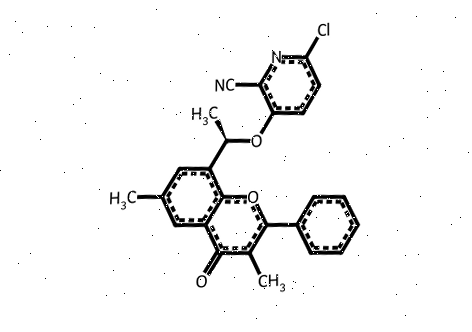 Cc1cc([C@@H](C)Oc2ccc(Cl)nc2C#N)c2oc(-c3ccccc3)c(C)c(=O)c2c1